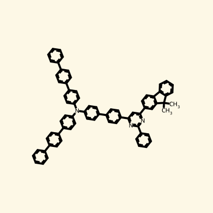 CC1(C)c2ccccc2-c2ccc(-c3cc(-c4ccc(-c5ccc(N(c6ccc(-c7ccc(-c8ccccc8)cc7)cc6)c6ccc(-c7ccc(-c8ccccc8)cc7)cc6)cc5)cc4)nc(-c4ccccc4)n3)cc21